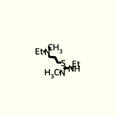 CCNC(=NC)SCCCN(C)CC